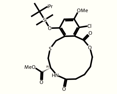 COC(=O)[C@@H]1CSCc2c(O[Si](C)(C)C(C)(C)C(C)C)cc(OC)c(Cl)c2C(=O)OCCCCC(=O)N1